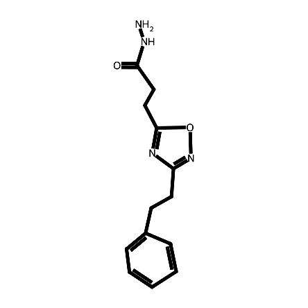 NNC(=O)CCc1nc(CCc2ccccc2)no1